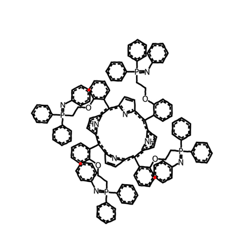 C1=Cc2nc1c(-c1ccccc1OCCP(=Nc1ccccc1)(c1ccccc1)c1ccccc1)c1ccc([nH]1)c(-c1ccccc1OCCP(=Nc1ccccc1)(c1ccccc1)c1ccccc1)c1nc(c(-c3ccccc3OCCP(=Nc3ccccc3)(c3ccccc3)c3ccccc3)c3ccc([nH]3)c2-c2ccccc2OCCP(=Nc2ccccc2)(c2ccccc2)c2ccccc2)C=C1